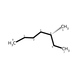 CC[CH]C[C@H](C)CC